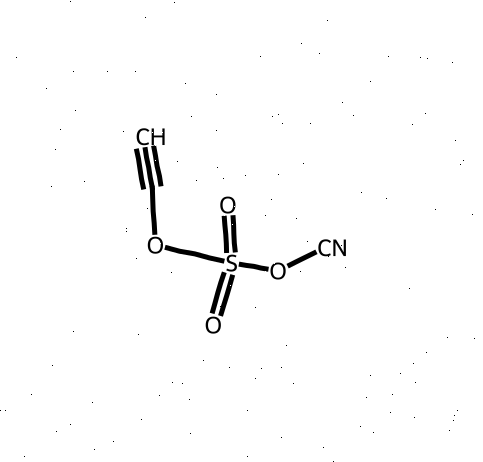 C#COS(=O)(=O)OC#N